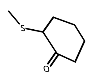 CSC1CCCCC1=O